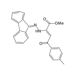 COC(=O)/C(=C/C(=O)c1ccc(C)cc1)NN=C1c2ccccc2-c2ccccc21